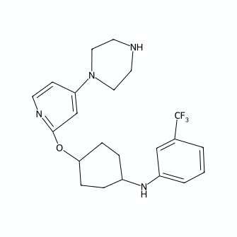 FC(F)(F)c1cccc(NC2CCC(Oc3cc(N4CCNCC4)ccn3)CC2)c1